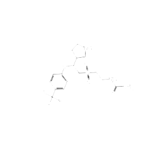 CC(=O)NCCS(=O)(=O)C[C@@H](Oc1ccc(C(F)(F)F)cc1)C1CCNC1